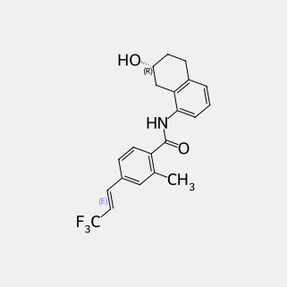 Cc1cc(/C=C/C(F)(F)F)ccc1C(=O)Nc1cccc2c1C[C@H](O)CC2